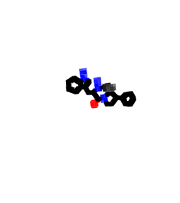 CC(C)(C)NC(Cc1c[nH]c2ccccc12)C(=O)N1CCC(c2ccccc2)CC1